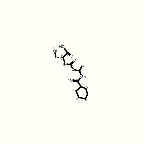 CC(OC(=O)N[C@H](CO)C(=O)O)OC(=O)C1CCCCC1